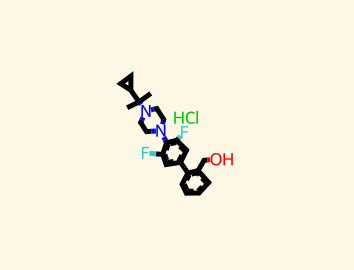 CC(C)(C1CC1)N1CCN(c2c(F)cc(-c3ccccc3CO)cc2F)CC1.Cl